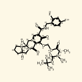 C[C@@H](C(=O)OCOc1c2n(cc(C(=O)NCc3ccc(F)cc3F)c1=O)C[C@@H]1N(C[C@H]3CCCN31)C2=O)N(C)C(=O)OC(C)(C)C